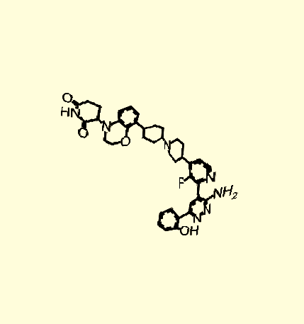 Nc1nnc(-c2ccccc2O)cc1-c1nccc(C2CCN(C3CCC(c4cccc5c4OCCN5[C@@H]4CCC(=O)NC4=O)CC3)CC2)c1F